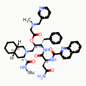 CN(CC(=O)O[C@H](CN1C[C@H]2CCCC[C@H]2C[C@H]1C(=O)NC(C)(C)C)[C@H](Cc1ccccc1)NC(=O)[C@H](CC(N)=O)NC(=O)c1ccc2ccccc2n1)Cc1cccnc1